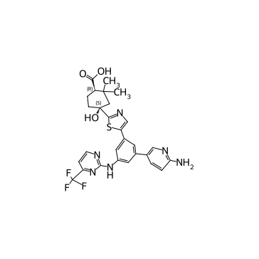 CC1(C)C[C@](O)(c2ncc(-c3cc(Nc4nccc(C(F)(F)F)n4)cc(-c4ccc(N)nc4)c3)s2)CC[C@H]1C(=O)O